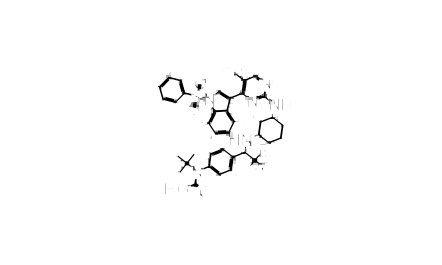 CC(C)(C)N(C(=O)O)c1ccc([C@@H](N[C@H]2CCC[C@@H](Nc3ncc(Cl)c(-c4cn(S(=O)(=O)c5ccccc5)c5ccccc45)n3)C2)C(F)(F)F)cc1